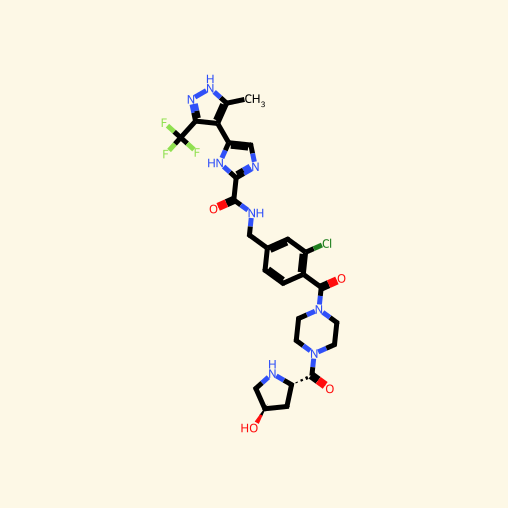 Cc1[nH]nc(C(F)(F)F)c1-c1cnc(C(=O)NCc2ccc(C(=O)N3CCN(C(=O)[C@@H]4C[C@@H](O)CN4)CC3)c(Cl)c2)[nH]1